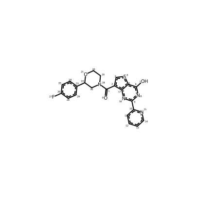 O=C(c1csc2c(O)nc(-c3ccccn3)nc12)N1CCOC(c2ccc(F)cc2)C1